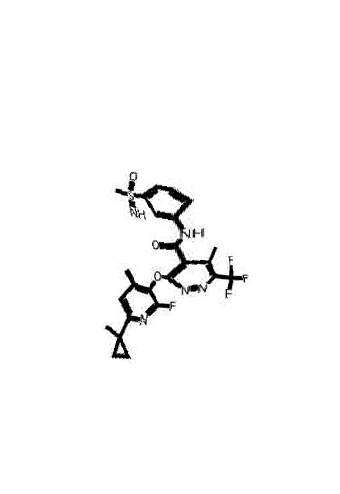 Cc1cc(C2(C)CC2)nc(F)c1Oc1nnc(C(F)(F)F)c(C)c1C(=O)Nc1cccc(S(C)(=N)=O)c1